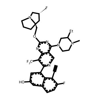 C#Cc1c(F)ccc2cc(O)cc(-c3ncc4c(N5CCN(C)C(CC)C5)nc(OC[C@@]56CCCN5C[C@H](F)C6)nc4c3C(F)(F)F)c12